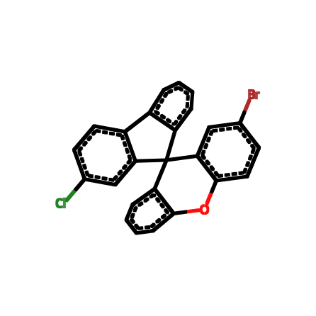 Clc1ccc2c(c1)C1(c3ccccc3Oc3ccc(Br)cc31)c1ccccc1-2